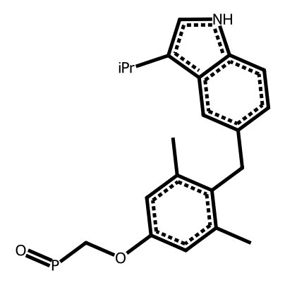 Cc1cc(OCP=O)cc(C)c1Cc1ccc2[nH]cc(C(C)C)c2c1